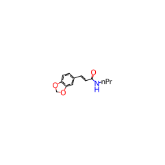 CCCNC(=O)C=Cc1ccc2c(c1)OCO2